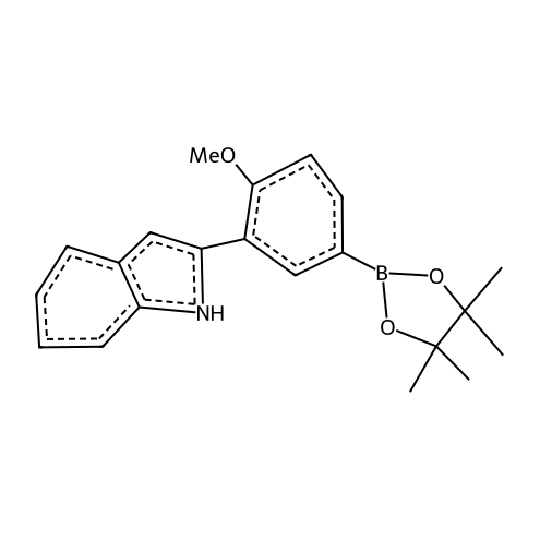 COc1ccc(B2OC(C)(C)C(C)(C)O2)cc1-c1cc2ccccc2[nH]1